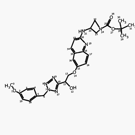 COc1ccc(Cn2nnc(C(O)COc3ccc4nc(NC5CN(C(=O)OC(C)(C)C)C5)ccc4c3)n2)cc1